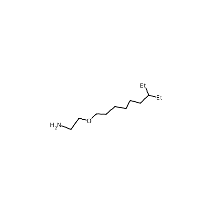 CCC(CC)CCCCCCOCCN